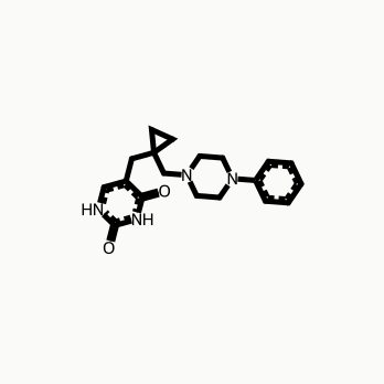 O=c1[nH]cc(CC2(CN3CCN(c4ccccc4)CC3)CC2)c(=O)[nH]1